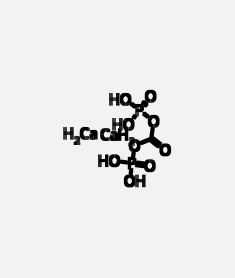 O=C(OP(=O)(O)O)OP(=O)(O)O.[CaH2].[CaH2]